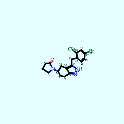 O=C1CCCN1C1CCc2n[nH]c(Cc3ccc(Br)cc3Cl)c2C1